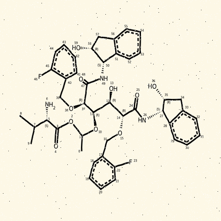 CC(OC(=O)[C@@H](N)C(C)C)O[C@H]([C@@H](O)[C@@H](OCc1ccccc1F)C(=O)N[C@H]1c2ccccc2C[C@H]1O)[C@@H](OCc1ccccc1F)C(=O)N[C@H]1c2ccccc2C[C@H]1O